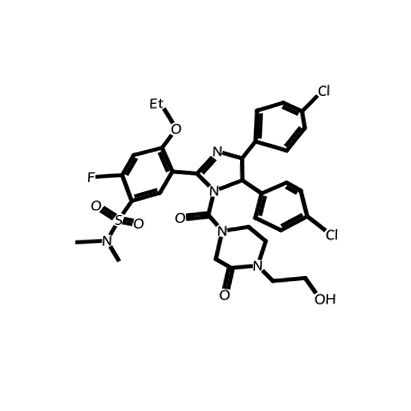 CCOc1cc(F)c(S(=O)(=O)N(C)C)cc1C1=NC(c2ccc(Cl)cc2)C(c2ccc(Cl)cc2)N1C(=O)N1CCN(CCO)C(=O)C1